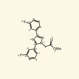 COC(=O)Cn1nc(-c2cccc(F)c2)nc1-c1cccc(F)c1